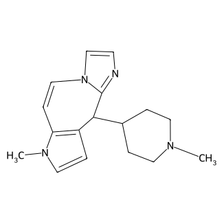 CN1CCC(C2c3ccn(C)c3C=Cn3ccnc32)CC1